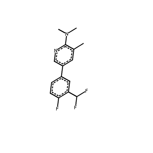 Cc1cc(-c2ccc(F)c(C(F)F)c2)cnc1N(C)C